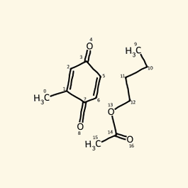 CC1=CC(=O)C=CC1=O.CCCCOC(C)=O